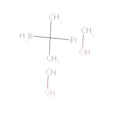 BC(C)(C)C(C)C.CO.CO